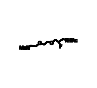 CNCCOCCOCC(F)CNC(C)=O